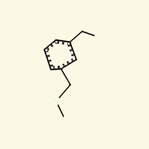 CNCc1cccc(CO)c1